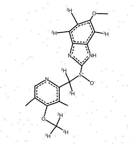 [2H]c1c(OC)c([2H])c2[nH]c([S+]([O-])C([2H])([2H])c3ncc(C)c(OC([2H])([2H])[2H])c3C)nc2c1[2H]